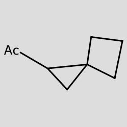 CC(=O)C1CC12CCC2